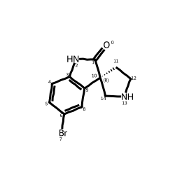 O=C1Nc2ccc(Br)cc2[C@@]12CCNC2